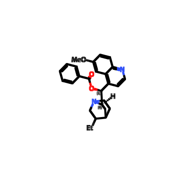 CCC1CN2CCC1C[C@@H]2[C@@H](OC(=O)c1ccccc1)c1ccnc2ccc(OC)cc12